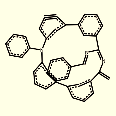 C=C1/N=C(\N=C\c2ccccc2)c2cccc(c2)-c2c#ccc(c2)N(c2ccccc2)c2cccc(c2)-c2cccc1c2